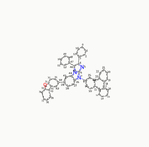 c1ccc(-c2nc3n(-c4ccc5c6ccccc6c6ccccc6c5c4)c4ccc(-c5ccc6oc7ccccc7c6c5)cc4n3c2-c2ccccc2)cc1